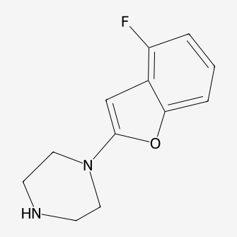 Fc1cccc2oc(N3CCNCC3)cc12